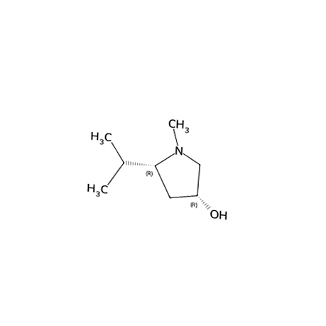 CC(C)[C@H]1C[C@@H](O)CN1C